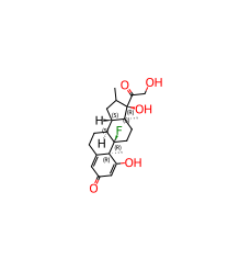 CC1C[C@H]2[C@@H]3CCC4=CC(=O)C=C(O)[C@]4(C)[C@@]3(F)CC[C@]2(C)[C@@]1(O)C(=O)CO